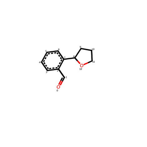 O=Cc1ccccc1C1CCCO1